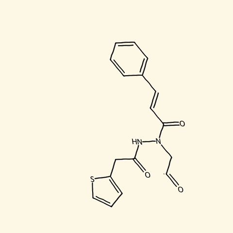 O=[C]CN(NC(=O)Cc1cccs1)C(=O)C=Cc1ccccc1